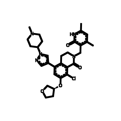 Cc1cc(C)c(CN2CCc3c(-c4cnn(C5CCN(C)CC5)c4)cc(O[C@@H]4CCOC4)c(Cl)c3C2=O)c(=O)[nH]1